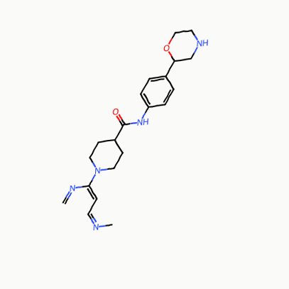 C=N/C(=C\C=N/C)N1CCC(C(=O)Nc2ccc(C3CNCCO3)cc2)CC1